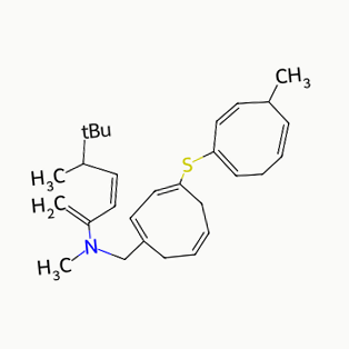 C=C(/C=C\C(C)C(C)(C)C)N(C)C/C1=C/C=C(/SC2=C/CC=CC(C)/C=C\2)C/C=C\C1